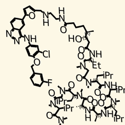 CC[C@H](NC(=O)C[C@H](O)[C@H](C)CCCC(=O)NCCNCc1ccc(-c2ccc3ncnc(Nc4ccc(OCc5cccc(F)c5)c(Cl)c4)c3c2)o1)C(=O)N(C)CC(=O)N(C)[C@@H](CC(C)C)C(=O)NC(C(=O)N(C)[C@@H](CC(C)C)C(=O)N[C@@H](C)C(=O)N[C@H](C)C(=O)N(C)[C@@H](CC(C)C)C(=O)N(C)CC(=O)N(C)C(C(=O)N(C)C)C(C)C)C(C)C